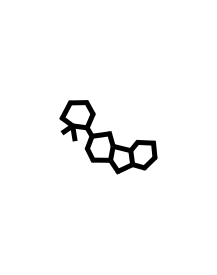 CC1(C)CCCCC1C1CCC2CC3CCCCC3C2C1